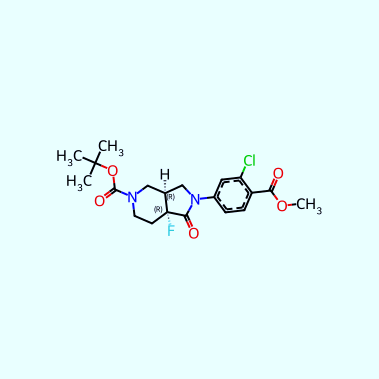 COC(=O)c1ccc(N2C[C@@H]3CN(C(=O)OC(C)(C)C)CC[C@]3(F)C2=O)cc1Cl